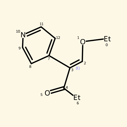 CCO/C=C(/C(=O)CC)c1ccncc1